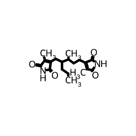 CCCC(CC1=C(C)C(=O)NC1=O)C(C)CCC1=C(C)C(=O)NC1=O